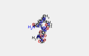 CCc1nc(C)oc1C(=O)Nc1nc2cc(C(N)=O)cc(OCCCN(C)C(=O)CCN3C(=O)C=CC3=O)c2n1C/C=C/Cn1c2ncc(C(N)=O)cc2c2ccc(-c3cc(C)nn3CC)nc21